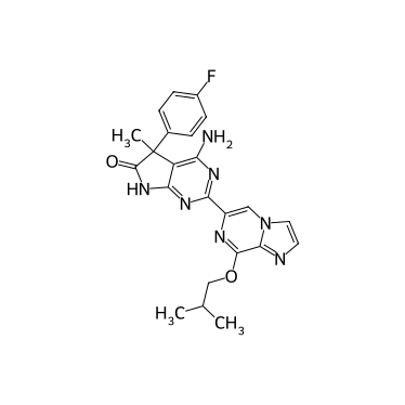 CC(C)COc1nc(-c2nc(N)c3c(n2)NC(=O)C3(C)c2ccc(F)cc2)cn2ccnc12